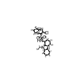 CCn1c2ccccc2c2cccc(NS(=O)(=O)c3c(Cl)nc4sccn34)c21